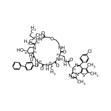 CCC(C)(C)[C@@H]1NC(=O)COCCNC(=O)[C@@H](CNC(=O)C[C@@H]2N=C(c3ccc(Cl)cc3)c3c(sc(C)c3C)-n3c(C)nnc32)NC(=O)[C@@H](C)NC(=O)[C@@H](Cc2ccc(-c3ccccc3)cc2)NC(=O)[C@@H]2C[C@@H](O)CN2C1=O